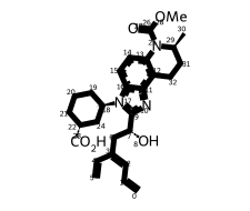 C=C/C=C(\C=C)C[C@@H](O)c1nc2c3c(ccc2n1[C@@H]1CCC[C@@H](C(=O)O)C1)N(C(=O)OC)[C@@H](C)CC3